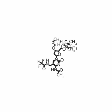 CSCOC1CC(n2cc(CNC(=O)C(F)(F)F)c(NC(C)=O)nc2=O)OC1CO[Si](C)(C)C(C)(C)C